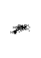 C=Nc1c(/C(N)=N\C)ccn1[C@@H]1C[C@H](CCc2cn[nH]c2)[C@@H](O)[C@H]1O